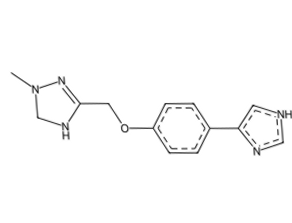 CN1CNC(COc2ccc(-c3c[nH]cn3)cc2)=N1